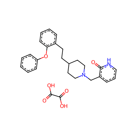 O=C(O)C(=O)O.O=c1[nH]cccc1CN1CCC(CCc2ccccc2Oc2ccccc2)CC1